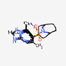 Cc1cc2ncnn2cc1C1CC2CCC(C1)N2S(=O)(=O)c1cnn(C)c1C